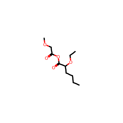 CCCCC(OCC)C(=O)OC(=O)COC